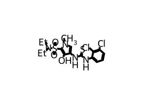 CCN(CC)S(=O)(=O)c1c(O)c(NC(=S)Nc2cccc(Cl)c2Cl)cn1C